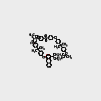 CCC(Oc1ccc(C(C)(C)c2ccc(Oc3ccc(C(C)C)c4c3C3c5ccccc5C4c4ccccc43)cc2)cc1)C(C)(CC)c1ccc(S(=O)(=O)c2ccc(Oc3ccc(C(C)(C)c4ccc(OC(C)(C)CC)cc4)cc3)cc2)cc1